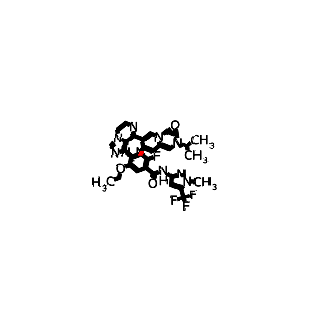 CCOc1cc(C(=O)Nc2cc(C(F)(F)F)n(C)n2)c(F)cc1-c1ncn2ccnc(-c3cn4c5oc=5n(C(C)C)cc4cc3N)c12